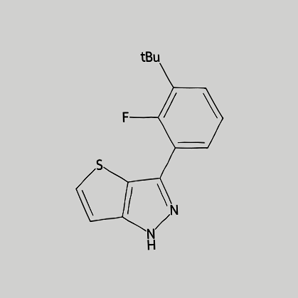 CC(C)(C)c1cccc(-c2n[nH]c3ccsc23)c1F